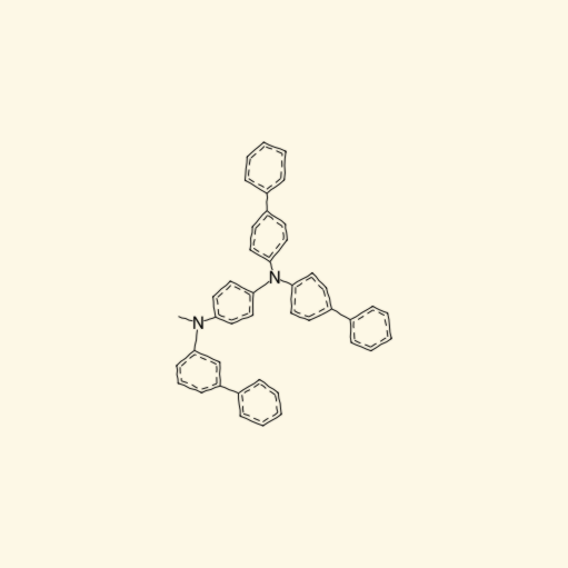 CN(c1ccc(N(c2ccc(-c3ccccc3)cc2)c2ccc(-c3ccccc3)cc2)cc1)c1cccc(-c2ccccc2)c1